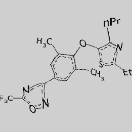 CCCc1nc(CC)sc1Oc1c(C)cc(-c2noc(C(F)(F)F)n2)cc1C